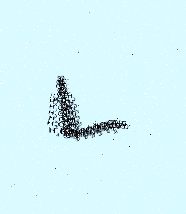 CC[N+](CC)(CC)CC.CC[N+](CC)(CC)CC.CC[N+](CC)(CC)CC.CC[N+](CC)(CC)CC.CC[N+](CC)(CC)CC.CC[N+](CC)(CC)CC.CC[N+](CC)(CC)CC.CC[N+](CC)(CC)CC.CC[N+](CC)(CC)CC.CC[N+](CC)(CC)CC.CC[N+](CC)(CC)CC.CC[N+](CC)(CC)CC.O=C([O-])OC(=O)[S-].O=C([O-])OC(=O)[S-].O=C([O-])OC(=O)[S-].O=C([O-])OC(=O)[S-].O=C([O-])OC(=O)[S-].O=C([O-])OC(=O)[S-]